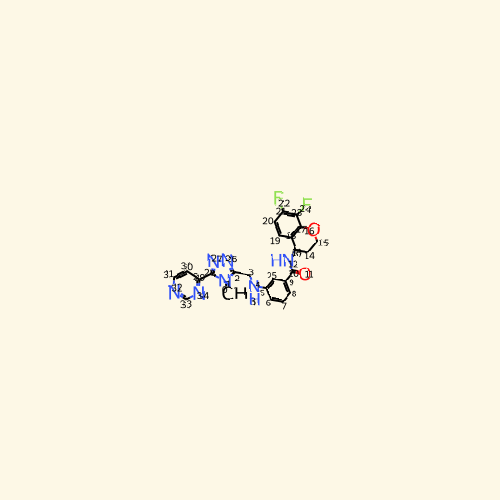 Cn1c(CNc2cccc(C(=O)N[C@@H]3CCOc4c3ccc(F)c4F)c2)nnc1-c1ccncn1